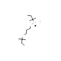 CCC(C)(C)OCCCOP(=O)(O)C(C)(C)CC